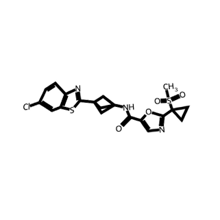 CS(=O)(=O)C1(c2ncc(C(=O)NC34CC(c5nc6ccc(Cl)cc6s5)(C3)C4)o2)CC1